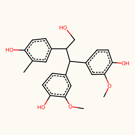 COc1cc(C(c2ccc(O)c(OC)c2)C(CO)c2ccc(O)c(C)c2)ccc1O